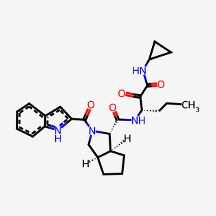 CCC[C@H](NC(=O)[C@@H]1[C@H]2CCC[C@H]2CN1C(=O)c1cc2ccccc2[nH]1)C(=O)C(=O)NC1CC1